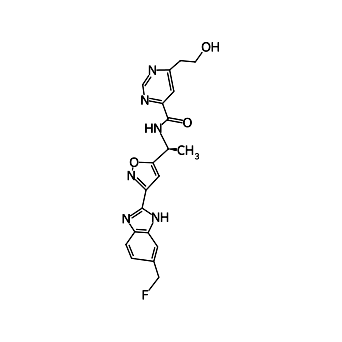 C[C@H](NC(=O)c1cc(CCO)ncn1)c1cc(-c2nc3ccc(CF)cc3[nH]2)no1